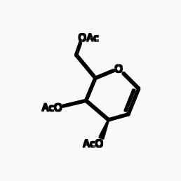 CC(=O)OCC1OC=C[C@@H](OC(C)=O)C1OC(C)=O